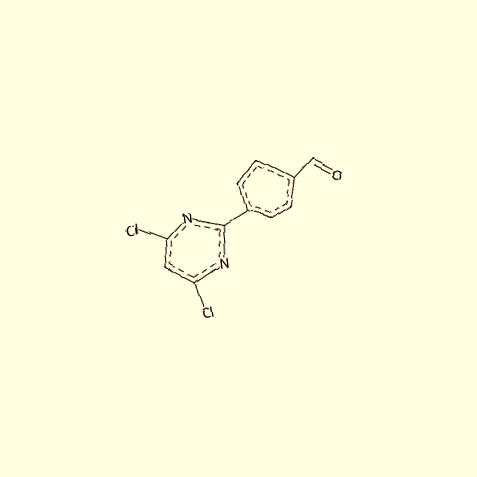 O=Cc1ccc(-c2nc(Cl)cc(Cl)n2)cc1